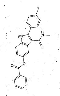 CNC(=O)c1c(-c2ccc(F)cc2)[nH]c2ccc(OC(=O)c3ccccc3)cc12